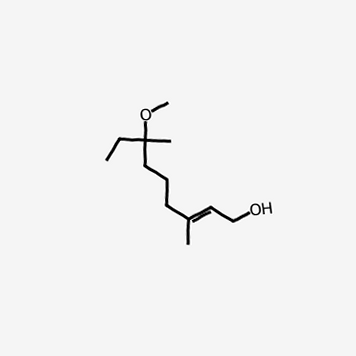 CCC(C)(CCCC(C)=CCO)OC